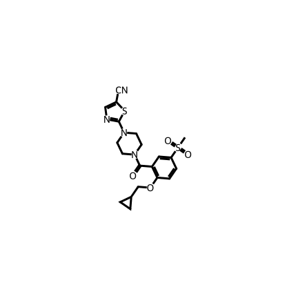 CS(=O)(=O)c1ccc(OCC2CC2)c(C(=O)N2CCN(c3ncc(C#N)s3)CC2)c1